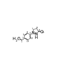 C=Cc1ccc(N2CCC(=O)N2)cc1